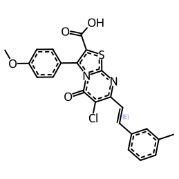 COc1ccc(-c2c(C(=O)O)sc3nc(/C=C/c4cccc(C)c4)c(Cl)c(=O)n23)cc1